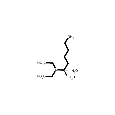 NCCCC[C@@H](C(=O)O)N(CC(=O)O)CC(=O)O.O